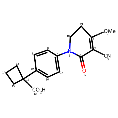 COC1=C(C#N)C(=O)N(c2ccc(C3(C(=O)O)CCC3)cc2)CC1